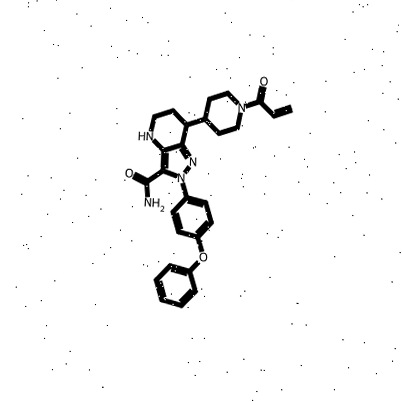 C=CC(=O)N1CCC(C2CCNc3c2nn(-c2ccc(Oc4ccccc4)cc2)c3C(N)=O)CC1